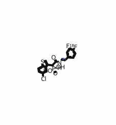 O=C(N/C=C/c1ccc([18F])c(F)c1)C(c1csc2ccc(Cl)cc12)P(=O)(O)O